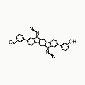 N#C/N=c1\c2cc(-c3cccc(O)c3)ccc2c2cc3/c(=N/C#N)c4cc(-c5cccc(C=O)c5)ccc4c3cc12